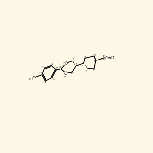 CCCCC[C@H]1CC[C@H]([C@H]2CO[C@H](c3ccc(F)cc3)OC2)CC1